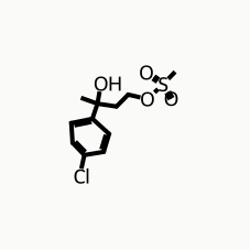 CC(O)(CCOS(C)(=O)=O)c1ccc(Cl)cc1